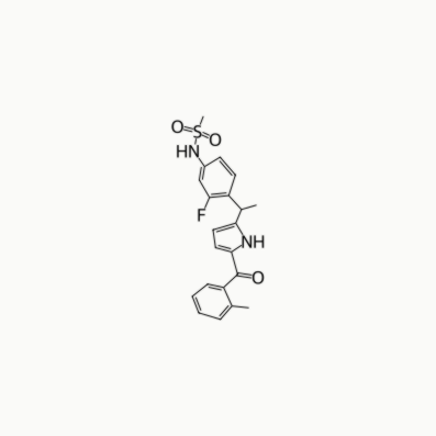 Cc1ccccc1C(=O)c1ccc(C(C)c2ccc(NS(C)(=O)=O)cc2F)[nH]1